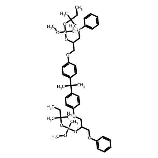 CCC(C)(C)O[Si](C)(OC)OC(COc1ccccc1)COc1ccc(C(C)(C)c2ccc(OCC(COc3ccccc3)O[Si](C)(OC)OC(C)(C)CC)cc2)cc1